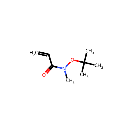 C=CC(=O)N(C)OC(C)(C)C